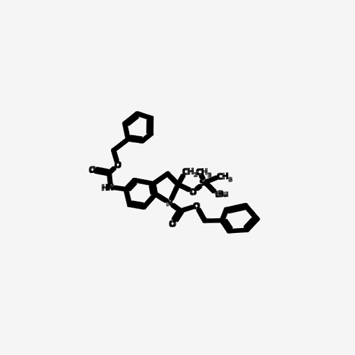 CC1(O[Si](C)(C)C(C)(C)C)Cc2cc(NC(=O)OCc3ccccc3)ccc2N1C(=O)OCc1ccccc1